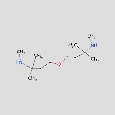 CNC(C)(C)CCOCCC(C)(C)NC